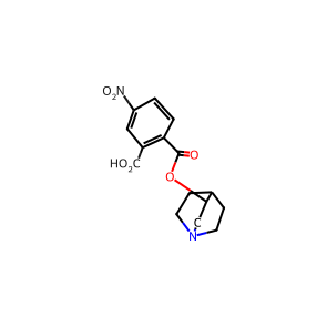 O=C(O)c1cc([N+](=O)[O-])ccc1C(=O)OC1CN2CCC1CC2